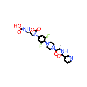 C[C@H](NC(=O)c1cccnc1)C(=O)N1CCN(c2c(F)cc(N3C[C@H](CNC(=O)O)OC3=O)cc2F)CC1